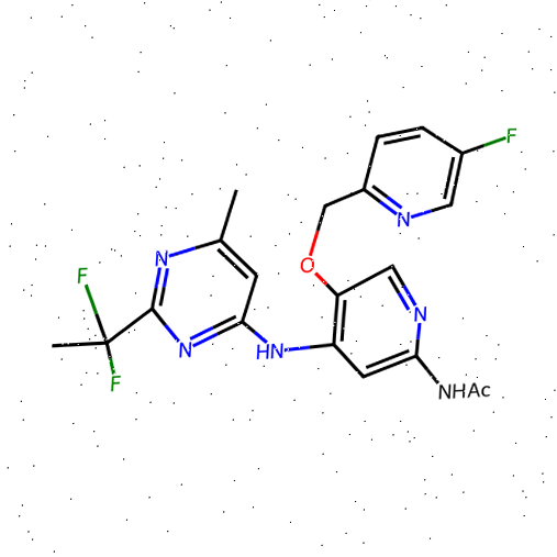 CC(=O)Nc1cc(Nc2cc(C)nc(C(C)(F)F)n2)c(OCc2ccc(F)cn2)cn1